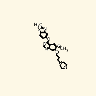 COc1cc2c(Oc3ccc4sc(C)nc4c3)ncnc2cc1OCCCN1CCOCC1